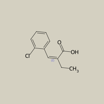 CC/C(=C/c1ccccc1Cl)C(=O)O